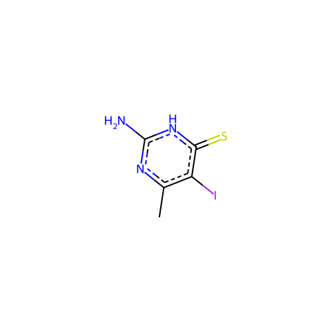 Cc1nc(N)[nH]c(=S)c1I